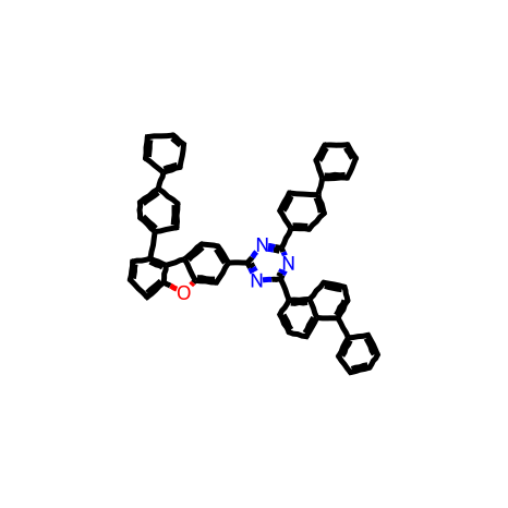 c1ccc(-c2ccc(-c3nc(-c4ccc5c(c4)oc4cccc(-c6ccc(-c7ccccc7)cc6)c45)nc(-c4cccc5c(-c6ccccc6)cccc45)n3)cc2)cc1